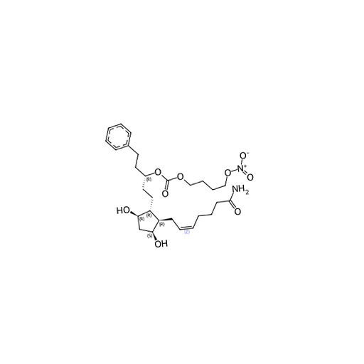 NC(=O)CCC/C=C\C[C@@H]1[C@@H](CC[C@H](CCc2ccccc2)OC(=O)OCCCCO[N+](=O)[O-])[C@H](O)C[C@@H]1O